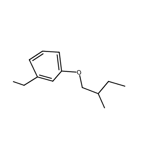 CCc1cccc(OCC(C)CC)c1